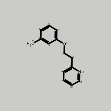 Cc1cccc(OCCc2ccccn2)c1